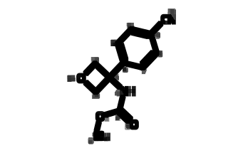 CC(C)(C)OC(=O)NC1(c2ccc(C#N)cc2)COC1